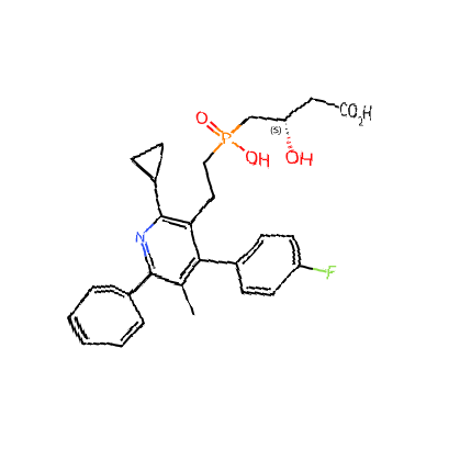 Cc1c(-c2ccccc2)nc(C2CC2)c(CCP(=O)(O)C[C@@H](O)CC(=O)O)c1-c1ccc(F)cc1